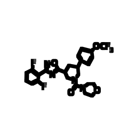 O=C(N1CCOCC1)N1CC(c2ccc(OC(F)(F)F)cc2)CC(c2nc(-c3c(F)cccc3F)no2)C1